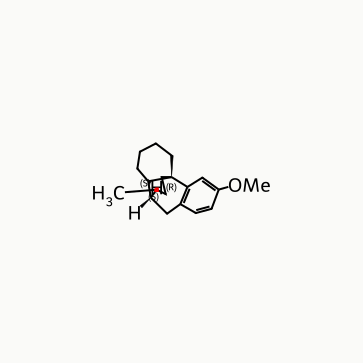 COc1ccc2c(c1)[C@@]13CCCC[C@H]1[C@@H](C2)C(C)CC3